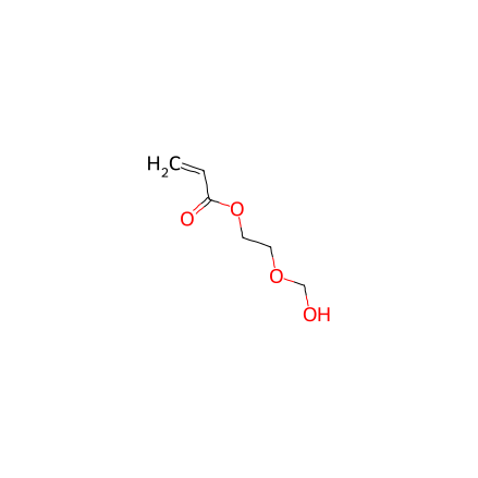 C=CC(=O)OCCOCO